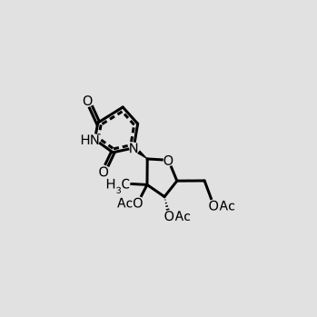 CC(=O)OCC1O[C@H](n2ccc(=O)[nH]c2=O)C(C)(OC(C)=O)[C@H]1OC(C)=O